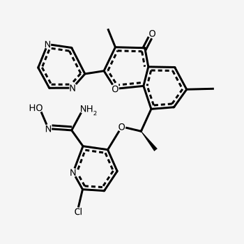 Cc1cc([C@@H](C)Oc2ccc(Cl)nc2C(N)=NO)c2oc(-c3cnccn3)c(C)c(=O)c2c1